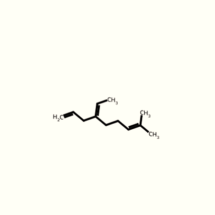 C=CCC(=CC)CCC=C(C)C